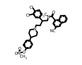 CN(CC(CCN1CCC(c2ccc(OS(C)(=O)=O)cc2)CC1)c1ccc(Cl)c(Cl)c1)C(=O)c1cc(C#N)cc2ccccc12